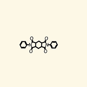 O=C1C2CC3C(=O)N(c4ccccc4)C(=O)C3CC2C(=O)N1c1ccccc1